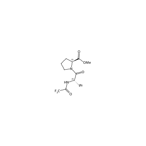 COC(=O)[C@@H]1CCCN1C(=O)[C@@H](NC(=O)C(F)(F)F)C(C)C